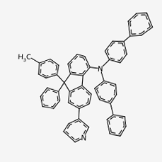 Cc1ccc(C2(c3ccccc3)c3cc(-c4cccnc4)ccc3-c3c(N(c4ccc(-c5ccccc5)cc4)c4ccc(-c5ccccc5)cc4)cccc32)cc1